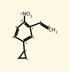 C=Cc1cc(C2CC2)ccc1[N+](=O)[O-]